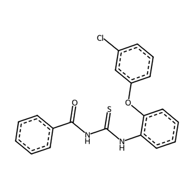 O=C(NC(=S)Nc1ccccc1Oc1cccc(Cl)c1)c1ccccc1